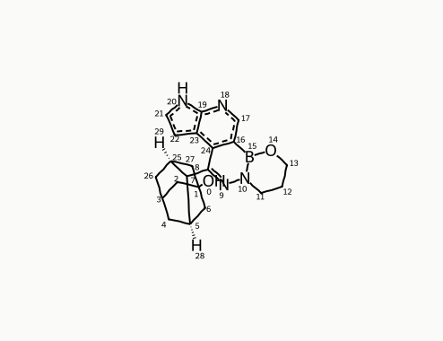 OC12CC3C[C@H](C1)C(C1=NN4CCCOB4c4cnc5[nH]ccc5c41)[C@@H](C3)C2